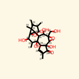 CCC(C)C(=O)OC12C(O)C(C)C3(O)C(C(O)C4(CO)OC4C4(O)C(=O)C(C)=CC43)C1C2(C)C